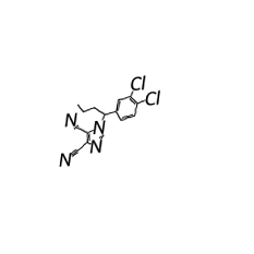 CCCC(c1ccc(Cl)c(Cl)c1)n1cnc(C#N)c1C#N